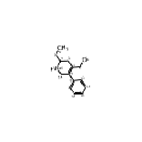 CCC1CC(CCl)=C(c2ccccc2)CN1